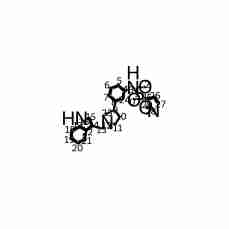 O=S(=O)(Nc1cccc(C2CCN(Cc3c[nH]c4ccccc34)C2)c1)c1ccno1